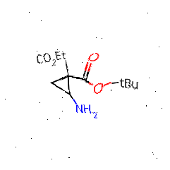 CCOC(=O)C1(C(=O)OC(C)(C)C)CC1N